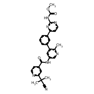 COC(=O)Nc1nccc(-c2cccc(-c3cc(NC(=O)c4ccnc(C(C)(C)C#N)c4)cnc3C)c2)n1